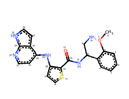 COc1ccccc1C(CN)NC(=O)c1sccc1Nc1ccnc2[nH]ccc12